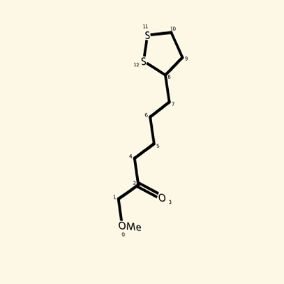 COCC(=O)CCCCC1CCSS1